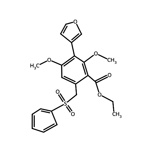 CCOC(=O)c1c(CS(=O)(=O)c2ccccc2)cc(OC)c(-c2ccoc2)c1OC